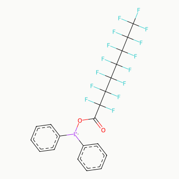 O=C(O[I+](c1ccccc1)c1ccccc1)C(F)(F)C(F)(F)C(F)(F)C(F)(F)C(F)(F)C(F)(F)C(F)(F)F